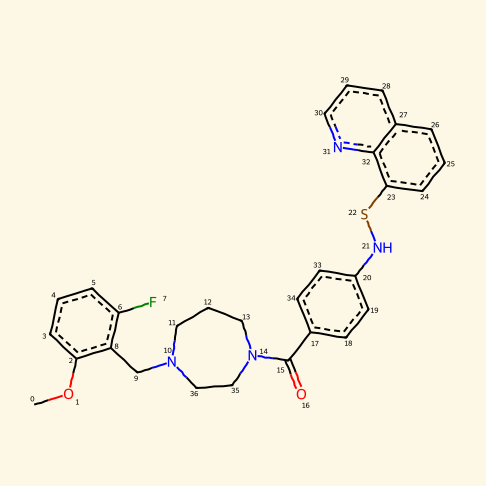 COc1cccc(F)c1CN1CCCN(C(=O)c2ccc(NSc3cccc4cccnc34)cc2)CC1